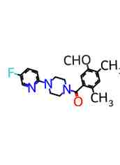 Cc1cc(C)c(C(=O)N2CCN(c3ccc(F)cn3)CC2)cc1C=O